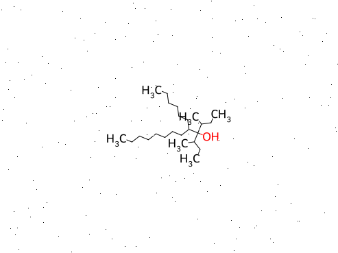 CCCCCCCCC(CCCCCC)C(O)(C(C)CC)C(C)CC